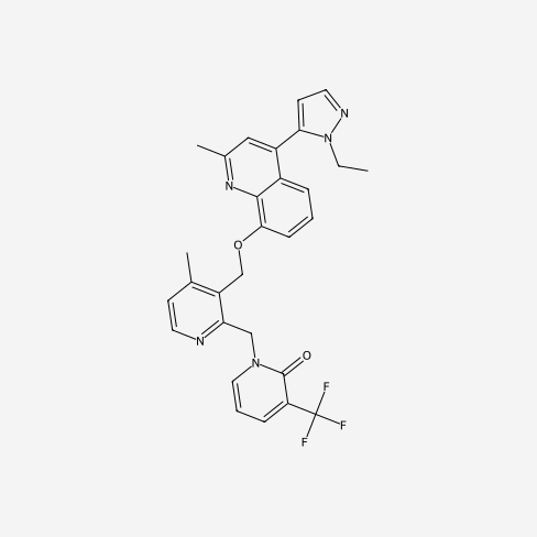 CCn1nccc1-c1cc(C)nc2c(OCc3c(C)ccnc3Cn3cccc(C(F)(F)F)c3=O)cccc12